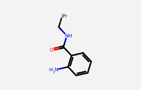 CC(C)CNC(=O)c1[c]cccc1N